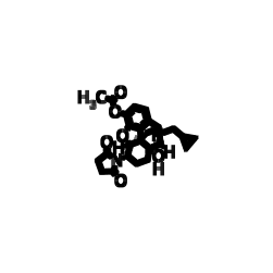 CC(=O)Oc1ccc2c3c1O[C@H]1[C@H](N4C(=O)CCC4=O)CC[C@@]4(O)[C@@H](C2)N(CC2CC2)CC[C@]314